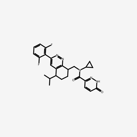 CC(C)C1CCC(CN(C(=O)c2ccc(=O)[nH]n2)C2CC2)c2nnc(-c3c(F)cccc3F)cc21